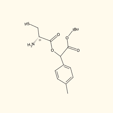 Cc1ccc(C(OC(=O)[C@H](N)CS)C(=O)OC(C)(C)C)cc1